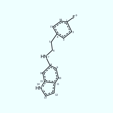 Fc1ccc(CCNc2ccc3cc[nH]c3c2)cc1